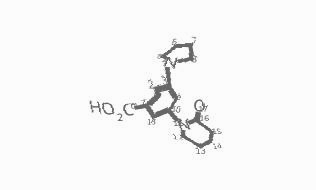 O=C(O)c1cc(N2CCCC2)cc(N2CCCCC2=O)c1